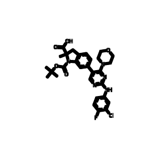 CC(C)(C)OC(=O)N1c2cc(-c3cnc(Nc4ccc(F)c(Cl)c4)nc3N3CCOCC3)ccc2CC1(C)C(=O)O